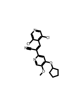 COc1cnc(C(C#N)=Cc2c(Cl)cncc2Cl)cc1OC1CCCC1